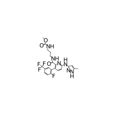 COC(=O)NCCCNC(=O)c1nc(Nc2cc(C)[nH]n2)ccc1-c1cc(C(F)(F)F)ccc1F